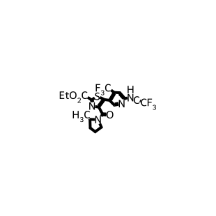 CCOC(=O)c1nc(C(=O)N2CCCC2C)c(-c2cnc(NCC(F)(F)F)cc2C(F)(F)F)s1